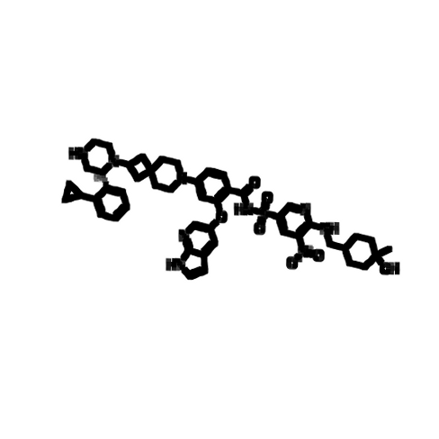 CC1(O)CCC(CNc2ncc(S(=O)(=O)NC(=O)c3ccc(N4CCC5(CC4)CC(N4CCNC[C@H]4c4ccccc4C4CC4)C5)cc3Oc3cnc4[nH]ccc4c3)cc2[N+](=O)[O-])CC1